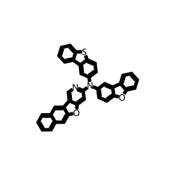 c1ccc2cc3c(cc2c1)oc1cc(N(c2ccc4oc5ccccc5c4c2)c2ccc4sc5ccccc5c4c2)ncc13